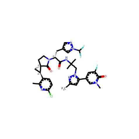 Cc1nc(Cl)ccc1[C@H]1C[C@@]12CCN([C@H](Cc1cnn(C(F)F)c1)C(=O)NC(C)(C)Cn1nc(C(F)(F)F)cc1-c1cc(F)c(=O)n(C)c1)C2=O